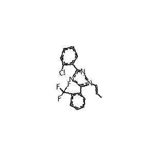 CC=Cn1nc(-c2ccccc2Cl)nc1-c1ccccc1C(F)(F)F